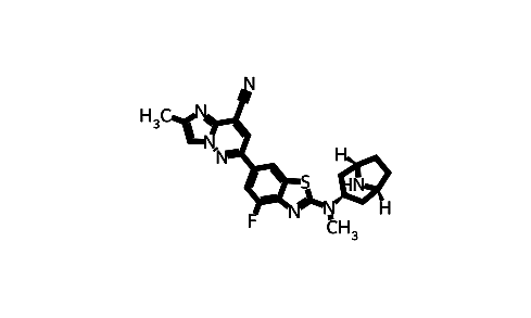 Cc1cn2nc(-c3cc(F)c4nc(N(C)[C@@H]5C[C@H]6CC[C@@H](C5)N6)sc4c3)cc(C#N)c2n1